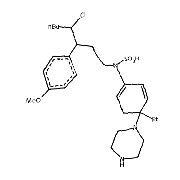 CCCCC(Cl)C(CCN(C1=CCC(CC)(N2CCNCC2)C=C1)S(=O)(=O)O)c1ccc(OC)cc1